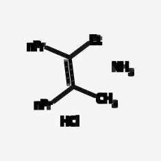 CCCC(C)=C(CC)CCC.Cl.N